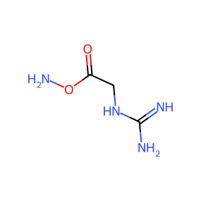 N=C(N)NCC(=O)ON